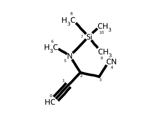 C#CC(CC#N)N(C)[Si](C)(C)C